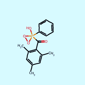 Cc1cc(C)c(C(=O)P2(O)(c3ccccc3)OO2)c(C)c1